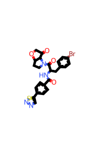 O=C(NC(Cc1ccc(Br)cc1)C(=O)N1CCC2OCC(=O)C21)c1ccc(-c2cnns2)cc1